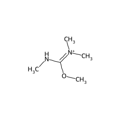 CNC(OC)=[N+](C)C